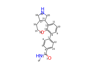 CNC(=O)c1ccc(-c2cccc3c2OCCC2CNCC32)cc1